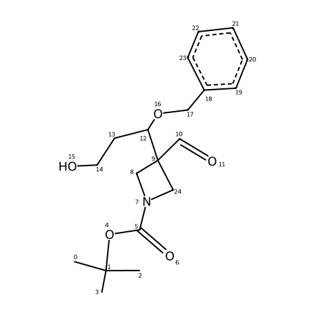 CC(C)(C)OC(=O)N1CC(C=O)(C(CCO)OCc2ccccc2)C1